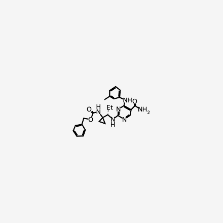 CC[C@H](Nc1ncc(C(N)=O)c(Nc2cccc(C)c2)n1)C1(NC(=O)OCc2ccccc2)CC1